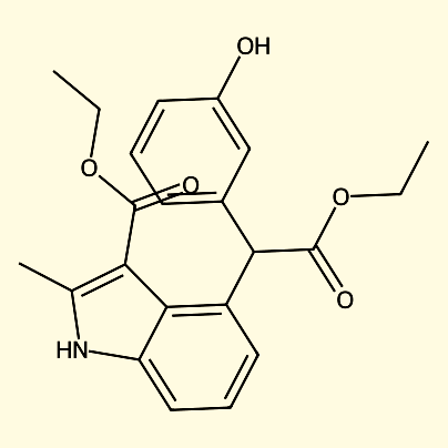 CCOC(=O)c1c(C)[nH]c2cccc(C(C(=O)OCC)c3cccc(O)c3)c12